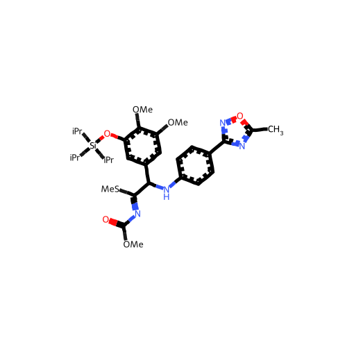 COC(=O)N=C(SC)C(Nc1ccc(-c2noc(C)n2)cc1)c1cc(OC)c(OC)c(O[Si](C(C)C)(C(C)C)C(C)C)c1